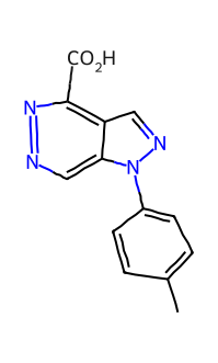 Cc1ccc(-n2ncc3c(C(=O)O)nncc32)cc1